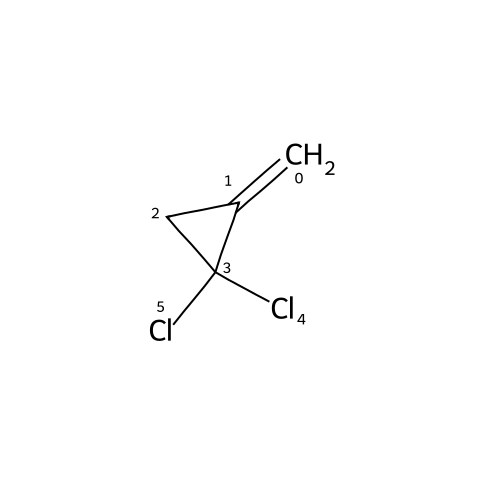 C=C1CC1(Cl)Cl